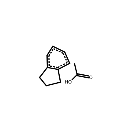 CC(=O)O.c1ccc2c(c1)CCC2